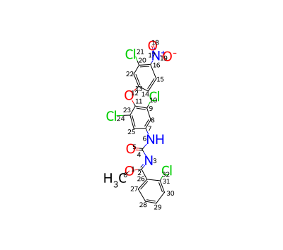 COC(=NC(=O)Nc1cc(Cl)c(Oc2ccc([N+](=O)[O-])c(Cl)c2)c(Cl)c1)c1ccccc1Cl